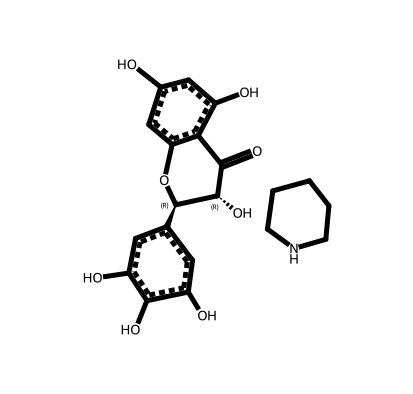 C1CCNCC1.O=C1c2c(O)cc(O)cc2O[C@H](c2cc(O)c(O)c(O)c2)[C@H]1O